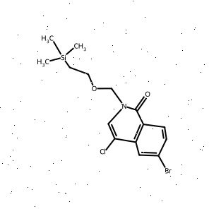 C[Si](C)(C)CCOCn1cc(Cl)c2cc(Br)ccc2c1=O